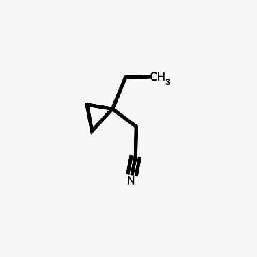 CCC1(CC#N)CC1